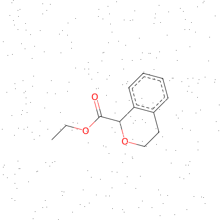 CCOC(=O)C1OCCc2ccccc21